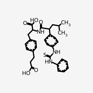 CC(C)CC(C(=O)NC(Cc1ccc(CCC(=O)O)cc1)C(=O)O)c1ccc(NC(=S)Nc2ccccc2)cc1